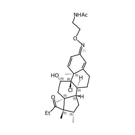 CCC(=O)[C@@]1(C)[C@@H](C)C[C@H]2[C@@H]3CCC4=C/C(=N/OCCNC(C)=O)C=C[C@]4(C)[C@@]3(Cl)[C@@H](O)C[C@@]21C